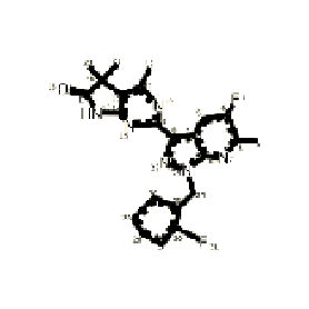 Cc1nc2c(cc1F)c(-c1nc(C)c3c(n1)NC(=O)C3(C)C)nn2Cc1ccccc1F